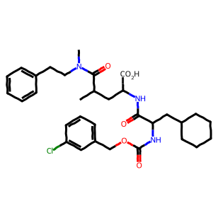 CC(CC(NC(=O)C(CC1CCCCC1)NC(=O)OCc1cccc(Cl)c1)C(=O)O)C(=O)N(C)CCc1ccccc1